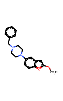 CCOC(=O)Oc1cc2cc(N3CCN(Cc4ccccc4)CC3)ccc2o1